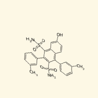 Cc1cccc(-c2c(S(N)(=O)=O)c(-c3cccc(C)c3)c3ccc(O)cc3c2S(N)(=O)=O)c1